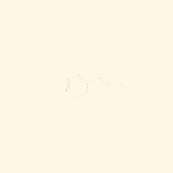 [CH]=CC=Cc1ccc(CCl)cc1